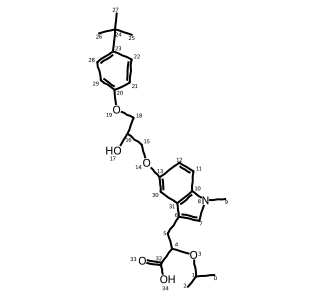 CC(C)OC(Cc1cn(C)c2ccc(OCC(O)COc3ccc(C(C)(C)C)cc3)cc12)C(=O)O